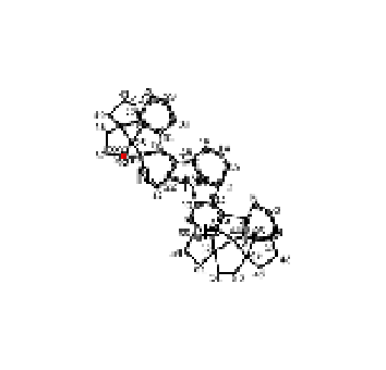 c1ccc2c(c1)-c1c(ncc3c1c1cccc4c5c6c(ncc5n3c14)C1(c3ccccc3-6)C3(CCCC3)CCC13CCCC3)C21C2(CCCC2)CCC12CCCC2